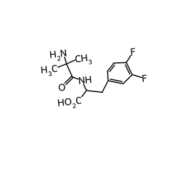 CC(C)(N)C(=O)NC(Cc1ccc(F)c(F)c1)C(=O)O